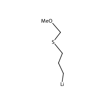 [Li][CH2]CCSCOC